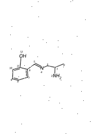 CC(N)C/N=C/c1ccccc1O